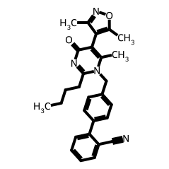 CCCCc1nc(=O)c(-c2c(C)noc2C)c(C)n1Cc1ccc(-c2ccccc2C#N)cc1